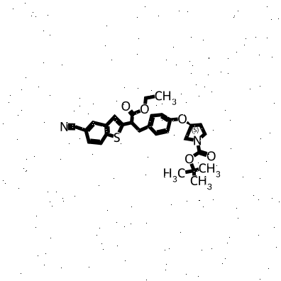 CCOC(=O)C(Cc1ccc(O[C@H]2CCN(C(=O)OC(C)(C)C)C2)cc1)c1cc2cc(C#N)ccc2s1